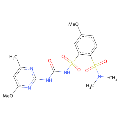 COc1ccc(S(=O)(=O)N(C)C)c(S(=O)(=O)NC(=O)Nc2nc(C)cc(OC)n2)c1